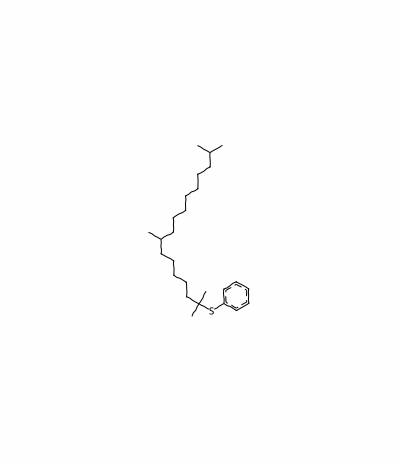 CC(C)CCCCCCCC(C)CCCCCC(C)(C)Sc1ccccc1